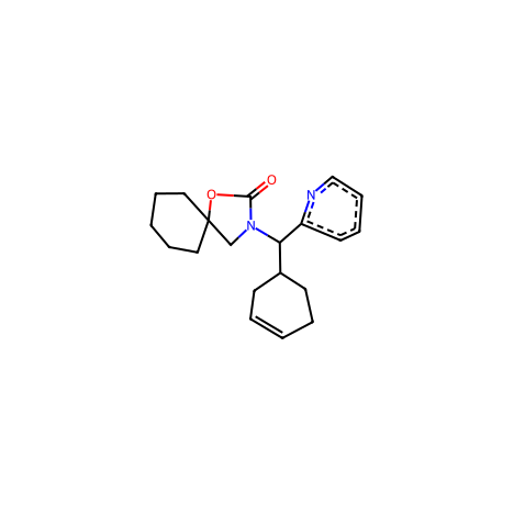 O=C1OC2(CCCCC2)CN1C(c1ccccn1)C1CC=CCC1